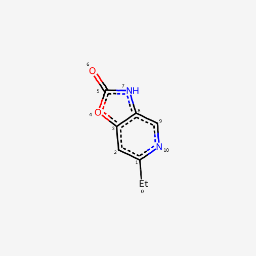 CCc1cc2oc(=O)[nH]c2cn1